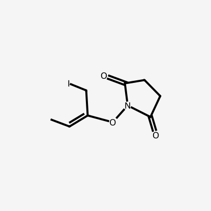 CC=C(CI)ON1C(=O)CCC1=O